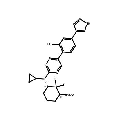 CN[C@H]1CCC[C@H](N(c2ncc(-c3ccc(-c4cn[nH]c4)cc3O)nn2)C2CC2)C1(F)F